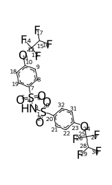 O=S(=O)(NS(=O)(=O)c1ccc(OC(F)(F)C(F)F)cc1)c1ccc(OC(F)(F)C(F)F)cc1